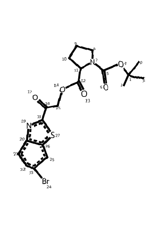 CC(C)(C)OC(=O)N1CCCC1C(=O)OCC(=O)c1nc2ccc(Br)cc2s1